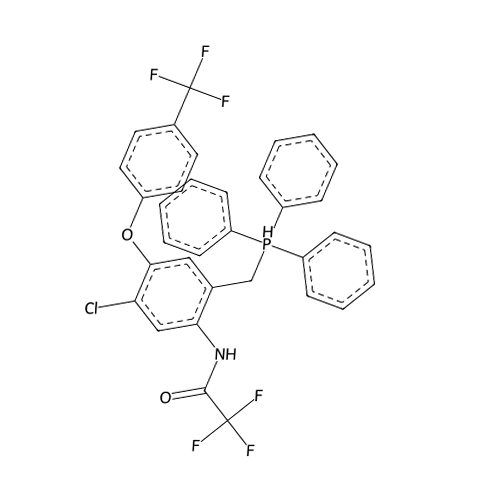 O=C(Nc1cc(Cl)c(Oc2ccc(C(F)(F)F)cc2)cc1C[PH](c1ccccc1)(c1ccccc1)c1ccccc1)C(F)(F)F